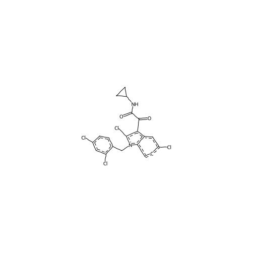 O=C(NC1CC1)C(=O)c1c(Cl)n(Cc2ccc(Cl)cc2Cl)c2ccc(Cl)cc12